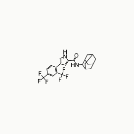 O=C(NC1C2CC3CC(C2)CC1C3)c1cc(-c2ccc(C(F)(F)F)cc2C(F)(F)F)c[nH]1